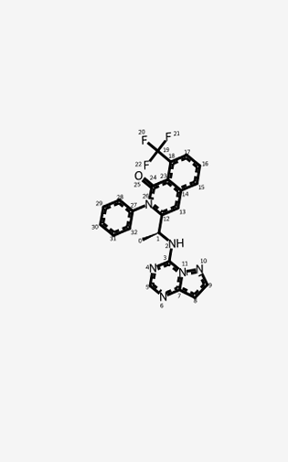 C[C@H](Nc1ncnc2ccnn12)c1cc2cccc(C(F)(F)F)c2c(=O)n1-c1ccccc1